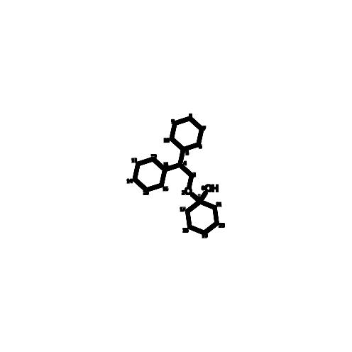 OC1(OCC(C2CCCCC2)C2CCCCC2)CCCCC1